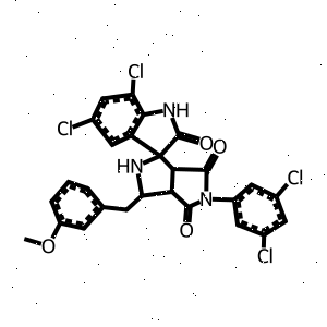 COc1cccc(CC2NC3(C(=O)Nc4c(Cl)cc(Cl)cc43)C3C(=O)N(c4cc(Cl)cc(Cl)c4)C(=O)C23)c1